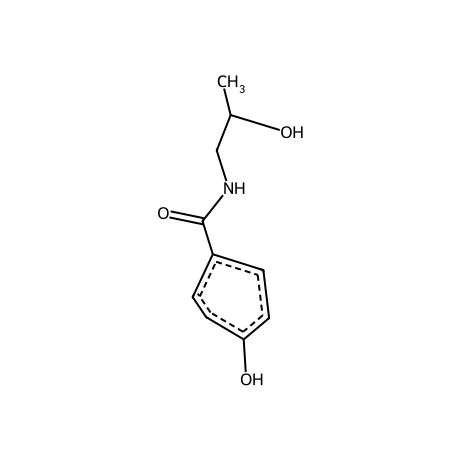 CC(O)CNC(=O)c1ccc(O)cc1